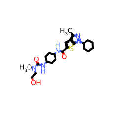 Cc1nn(C2CCCCC2)c2sc(C(=O)NC3CCC(NC(=O)N(C)CCO)CC3)cc12